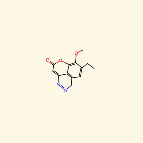 CCc1cc2c3c(cc(=O)oc3c1OC)N=NC2